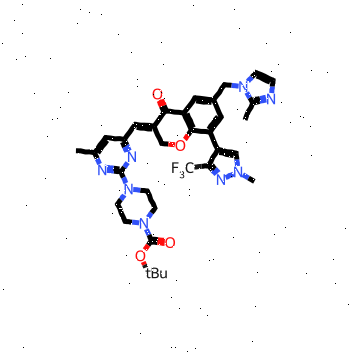 Cc1cc(/C=C2\COc3c(cc(Cn4ccnc4C)cc3-c3cn(C)nc3C(F)(F)F)C2=O)nc(N2CCN(C(=O)OC(C)(C)C)CC2)n1